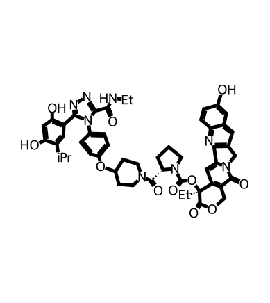 CCNC(=O)c1nnc(-c2cc(C(C)C)c(O)cc2O)n1-c1ccc(OC2CCN(C(=O)[C@@H]3CCCN3C(=O)O[C@]3(CC)C(=O)OCc4c3cc3n(c4=O)Cc4cc5cc(O)ccc5nc4-3)CC2)cc1